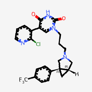 O=c1[nH]c(=O)n(CCCN2C[C@@H]3C[C@]3(c3ccc(C(F)(F)F)cc3)C2)cc1-c1cccnc1Cl